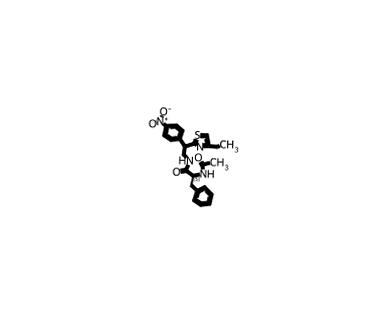 CCc1csc(C(CNC(=O)[C@H](Cc2ccccc2)NC(C)=O)c2ccc([N+](=O)[O-])cc2)n1